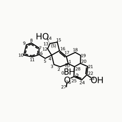 B[C@]12CCC3(Cc4ccccc4)C[C@H](O)CC3=C1CCC1C=C(O)C=C(OC)C12